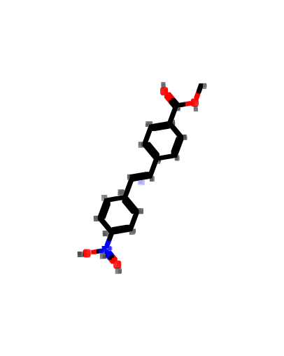 COC(=O)c1ccc(/C=C/c2ccc([N+](=O)[O-])cc2)cc1